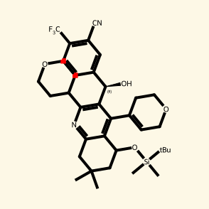 CC1(C)Cc2nc(C3CCOCC3)c([C@H](O)c3ccc(C(F)(F)F)c(C#N)c3)c(C3=CCOCC3)c2C(O[Si](C)(C)C(C)(C)C)C1